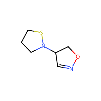 [C]1=NOCC1N1CCCS1